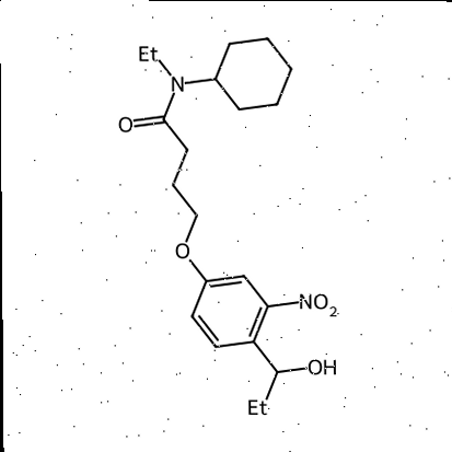 CCC(O)c1ccc(OCCCC(=O)N(CC)C2CCCCC2)cc1[N+](=O)[O-]